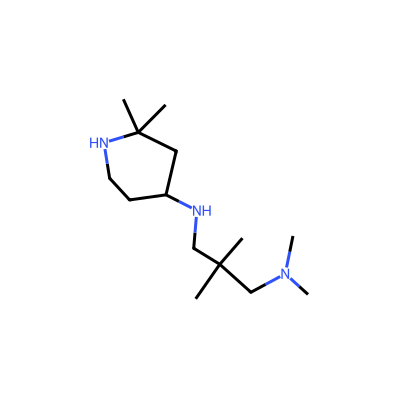 CN(C)CC(C)(C)CNC1CCNC(C)(C)C1